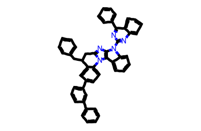 c1ccc(CC2Cc3nc4c(c5ccccc5n4-c4nc(-c5ccccc5)c5ccccc5n4)n3-c3ccc(-c4cccc(-c5ccccc5)c4)cc32)cc1